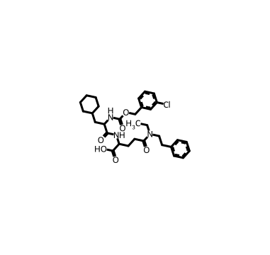 CCN(CCc1ccccc1)C(=O)CCC(NC(=O)C(CC1CCCCC1)NC(=O)OCc1cccc(Cl)c1)C(=O)O